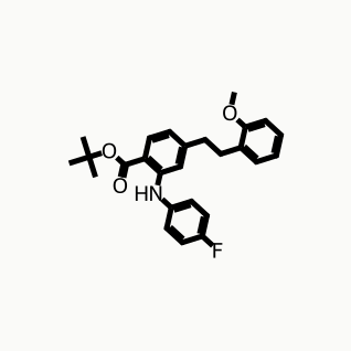 COc1ccccc1CCc1ccc(C(=O)OC(C)(C)C)c(Nc2ccc(F)cc2)c1